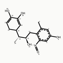 Cc1cc(O)cc(N=O)c1C[C@@H](O)[C@H](C)C1C=C(O)C(O)=CC1